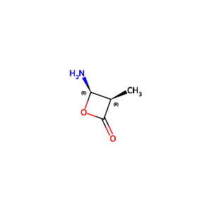 C[C@H]1C(=O)O[C@H]1N